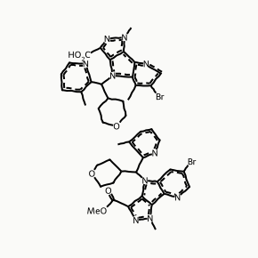 COC(=O)c1nn(C)c2c3ncc(Br)cc3n(C(c3ncccc3C)C3CCOCC3)c12.Cc1cccnc1C(C1CCOCC1)n1c2c(C)c(Br)cnc2c2c1c(C(=O)O)nn2C